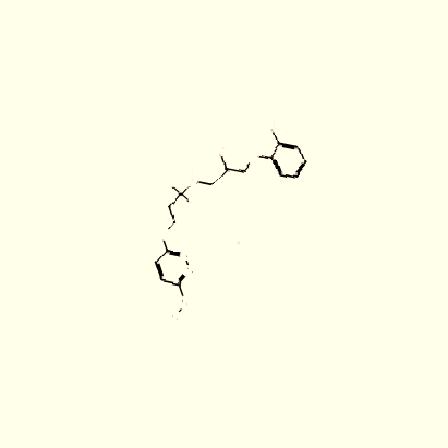 Cc1ccccc1OCC(O)CNC(C)(C)CCOc1ccc(NN)nn1.Cl